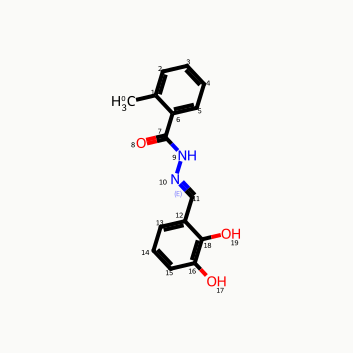 Cc1ccccc1C(=O)N/N=C/c1cccc(O)c1O